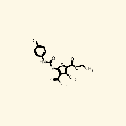 CCOC(=O)c1sc(NC(=O)Nc2ccc(Cl)cc2)c(C(N)=O)c1C